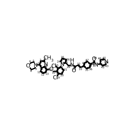 Cc1cc(N2CCOCC2)c2cccc(OCc3c(Cl)ccc(-n4cccc4CNC(=O)C=Cc4ccc(C(=O)Nc5ccncc5)cc4)c3Cl)c2n1